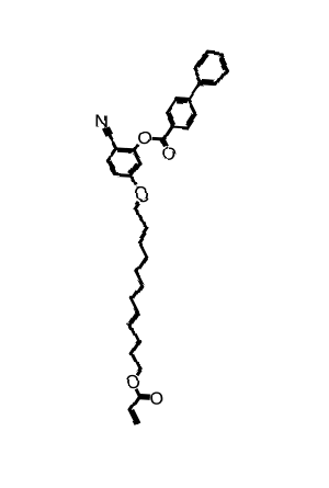 C=CC(=O)OCCCCCCCCCCCCOc1ccc(C#N)c(OC(=O)c2ccc(-c3ccccc3)cc2)c1